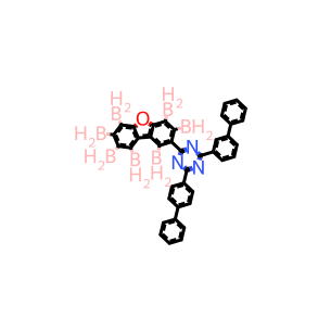 Bc1c(B)c(B)c2c(oc3c(B)c(B)c(-c4nc(-c5ccc(-c6ccccc6)cc5)nc(-c5cccc(-c6ccccc6)c5)n4)c(B)c32)c1B